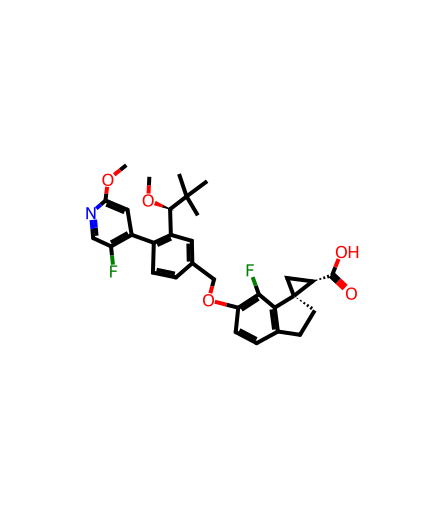 COc1cc(-c2ccc(COc3ccc4c(c3F)[C@@]3(CC4)C[C@@H]3C(=O)O)cc2[C@@H](OC)C(C)(C)C)c(F)cn1